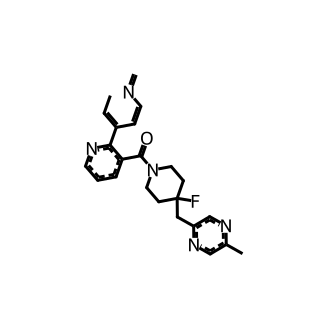 C=N/C=C\C(=C/C)c1ncccc1C(=O)N1CCC(F)(Cc2cnc(C)cn2)CC1